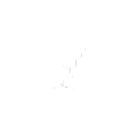 CCCCC(=O)OCC(C)=O